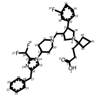 O=C(O)CCC1(N2CC(CN3CCC(n4cc(Cc5ccccc5)nc4C(F)F)CC3)C(c3cccc(F)c3)C2)CCC1